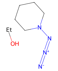 CCO.[N-]=[N+]=NN1CCCCC1